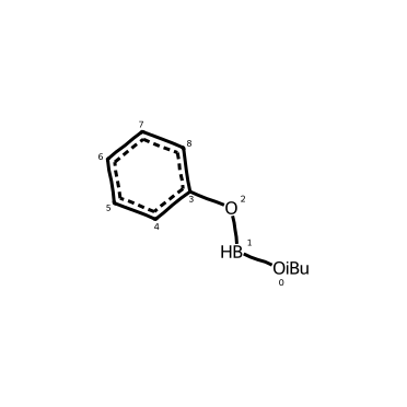 CC(C)COBOc1ccccc1